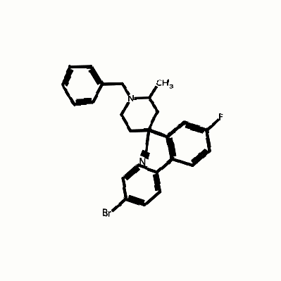 CC1CC(C#N)(c2cc(F)ccc2-c2ccc(Br)cc2)CCN1Cc1ccccc1